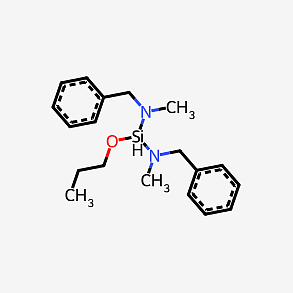 CCCO[SiH](N(C)Cc1ccccc1)N(C)Cc1ccccc1